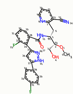 CO[C@H](CO)[C@@H](Cc1ncccc1C#N)NC(=O)c1cccc(F)c1-c1cc(-c2ccc(F)cc2)[nH]n1